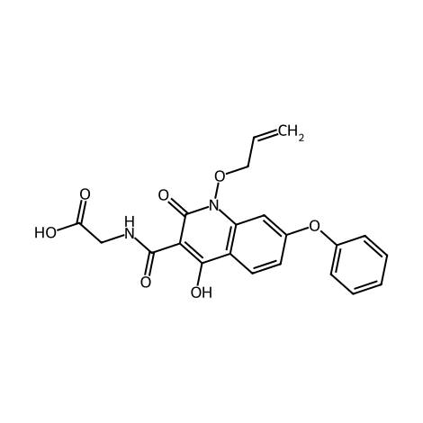 C=CCOn1c(=O)c(C(=O)NCC(=O)O)c(O)c2ccc(Oc3ccccc3)cc21